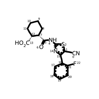 N#Cc1sc(NC(=O)[C@H]2CCCC[C@H]2C(=O)O)nc1-c1ccccc1F